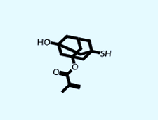 C=C(C)C(=O)OC12CC3CC(O)(CC(S)(C3)C1)C2